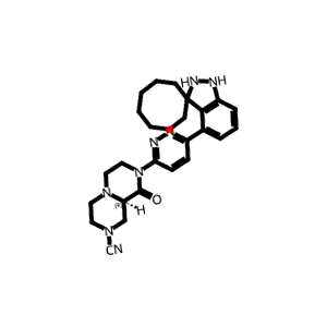 N#CN1CCN2CCN(c3ccc(-c4cccc5c4C4(CCCCCCC4)NN5)nn3)C(=O)[C@H]2C1